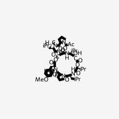 COc1ccc(C[C@H]2C(=O)OC[C@H](NC(=O)[C@@H](CC(C)C)N(C)C(=O)C3CCCN3C(=O)C(C)=O)C(=O)N[C@H](C(C)C)[C@@H](O)CC(=O)O[C@@H](C(C)C)C(=O)N[C@@H](CC(C)C)C(=O)N3CCC[C@H]3C(=O)N2C)cc1